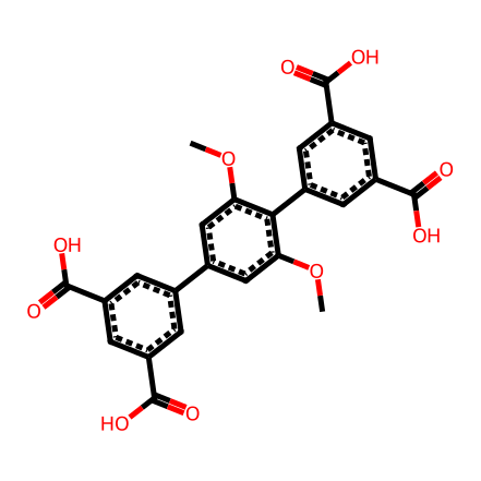 COc1cc(-c2cc(C(=O)O)cc(C(=O)O)c2)cc(OC)c1-c1cc(C(=O)O)cc(C(=O)O)c1